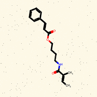 C/C=C(\C)C(=O)NCCCCOC(=O)/C=C/c1ccccc1